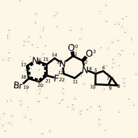 O=C1C(=O)N(C2CC3CC3C2)CCN1Cc1ncc(Br)cc1F